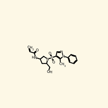 C=CC(=O)NC1CC(CO)N(S(=O)(=O)c2cnn(-c3ccccc3)c2C)C1